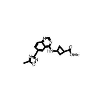 COC(=O)C1CC(Nc2ncnc3ccc(-c4noc(C)n4)cc23)C1